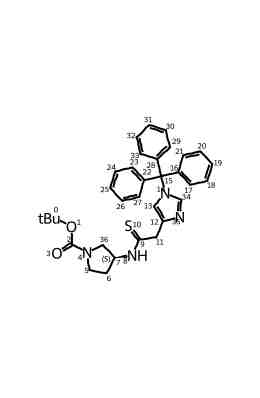 CC(C)(C)OC(=O)N1CC[C@H](NC(=S)Cc2cn(C(c3ccccc3)(c3ccccc3)c3ccccc3)cn2)C1